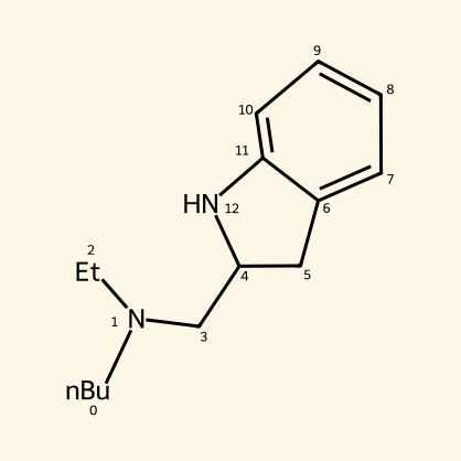 CCCCN(CC)CC1Cc2ccccc2N1